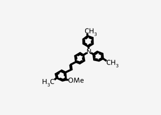 COc1cc(C)ccc1/C=C/c1ccc(N(c2ccc(C)cc2)c2ccc(C)cc2)cc1